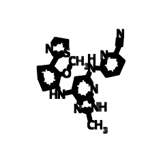 COc1c(Nc2cc(Nc3cccc(C#N)n3)nc3[nH]c(C)nc23)cccc1-c1nccs1